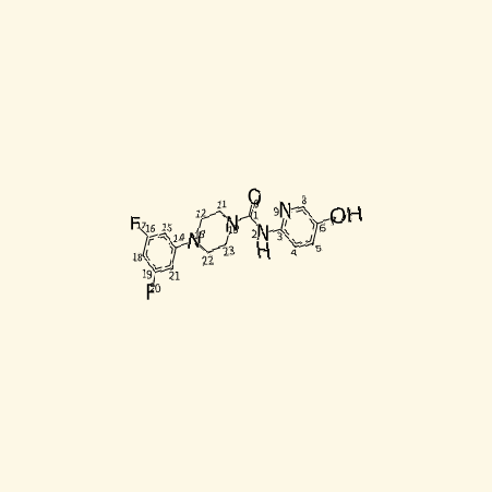 O=C(Nc1ccc(O)cn1)N1CCN(c2cc(F)cc(F)c2)CC1